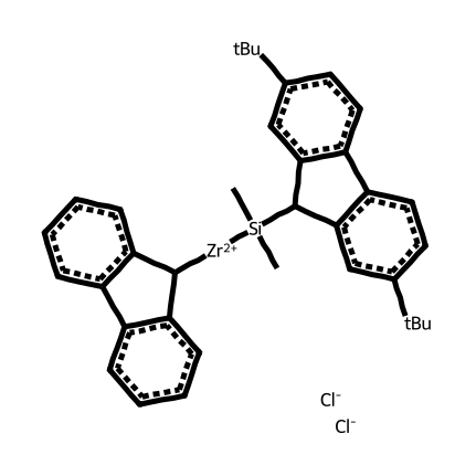 CC(C)(C)c1ccc2c(c1)C([Si](C)(C)[Zr+2][CH]1c3ccccc3-c3ccccc31)c1cc(C(C)(C)C)ccc1-2.[Cl-].[Cl-]